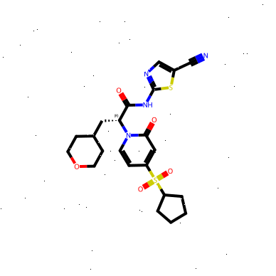 N#Cc1cnc(NC(=O)[C@@H](CC2CCOCC2)n2ccc(S(=O)(=O)C3CCCC3)cc2=O)s1